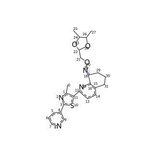 Cc1nc(-c2cccnc2)sc1-c1ccc2c(n1)/C(=N/OCC1OC(C)C(C)O1)CCC2